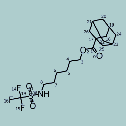 O=C(OCCCCCCNS(=O)(=O)C(F)(F)F)C12CC3CC(CC(C3)C1)C2